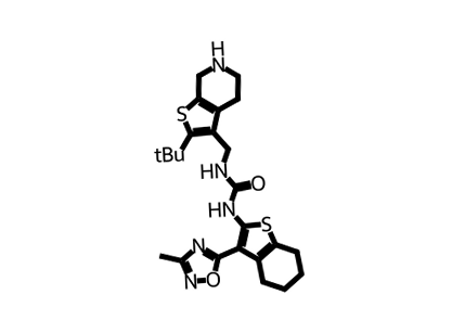 Cc1noc(-c2c(NC(=O)NCc3c(C(C)(C)C)sc4c3CCNC4)sc3c2CCCC3)n1